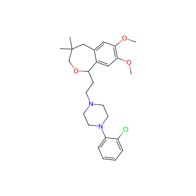 COc1cc2c(cc1OC)C(CCN1CCN(c3ccccc3Cl)CC1)OCC(C)(C)C2